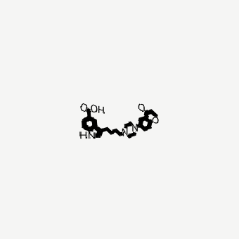 O=C(O)c1ccc2[nH]cc(CCCCN3CCN(c4ccc5occc(=O)c5c4)CC3)c2c1